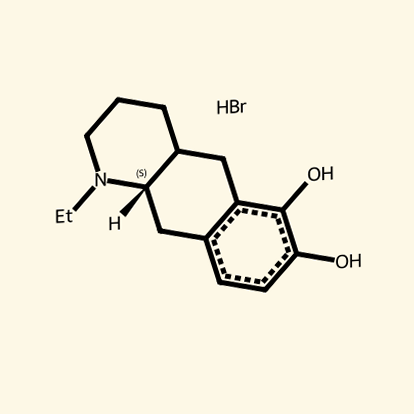 Br.CCN1CCCC2Cc3c(ccc(O)c3O)C[C@@H]21